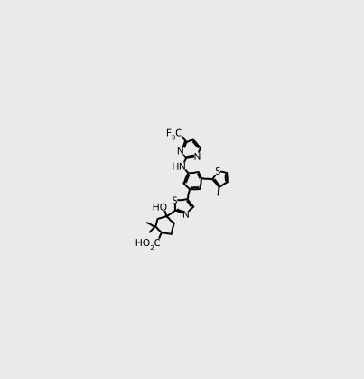 Cc1ccsc1-c1cc(Nc2nccc(C(F)(F)F)n2)cc(-c2cnc(C3(O)CCC(C(=O)O)C(C)(C)C3)s2)c1